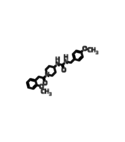 COc1ccc(CNC(=O)NC2CCN(C(=O)Cc3ccccc3OC)CC2)cc1